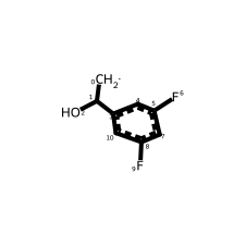 [CH2]C(O)c1cc(F)cc(F)c1